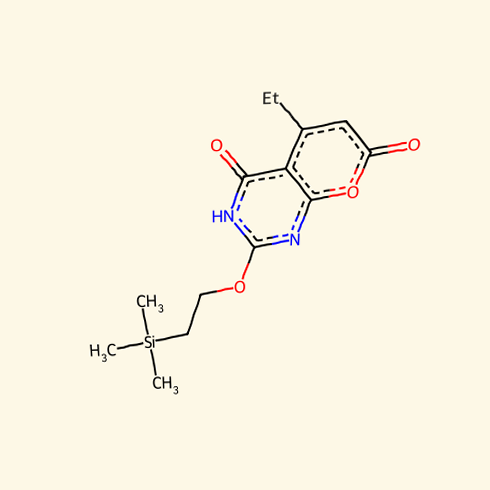 CCc1cc(=O)oc2nc(OCC[Si](C)(C)C)[nH]c(=O)c12